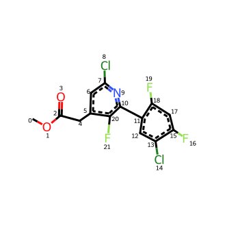 COC(=O)Cc1cc(Cl)nc(-c2cc(Cl)c(F)cc2F)c1F